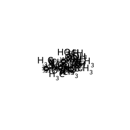 CC1[C@@H](NC(=O)[C@@H]2[C@H]([C@H](C)O)[C@H](CO)ON2Cc2cccc(-c3cc(C(=O)N[C@@H](Cc4ccccc4)CN(C)C)cc(N(C)C)c3)c2OCCN2CCOCC2)C[C@H]2C[C@@H]1C2(C)C